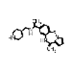 C=C(NCC1CCNCC1)c1ccc2sn3cccc3c(=C)[nH]c2c1